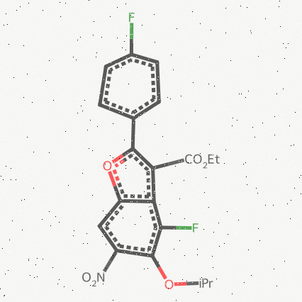 CCOC(=O)c1c(-c2ccc(F)cc2)oc2cc([N+](=O)[O-])c(OC(C)C)c(F)c12